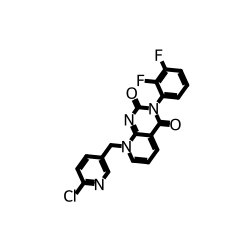 O=c1nc2n(Cc3ccc(Cl)nc3)cccc-2c(=O)n1-c1cccc(F)c1F